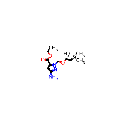 CCOC(=O)c1cc(N)nn1COCC[Si](C)(C)C